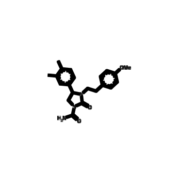 COc1ccc(CCN2C(=O)N(C(N)=O)CC2c2ccc(C)c(C)c2)cc1